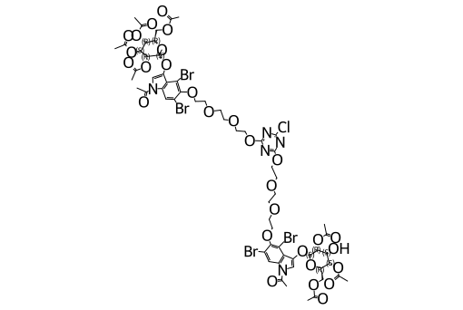 CC(=O)OC[C@H]1O[C@@H](Oc2cn(C(C)=O)c3cc(Br)c(OCCOCCOCCOc4nc(Cl)nc(OCCOCCOCCOc5c(Br)cc6c(c(O[C@@H]7O[C@H](COC(C)=O)[C@@H](OC(C)=O)[C@H](OC(C)=O)[C@H]7OC(C)=O)cn6C(C)=O)c5Br)n4)c(Br)c23)[C@H](OC(C)=O)[C@@H](O)[C@@H]1OC(C)=O